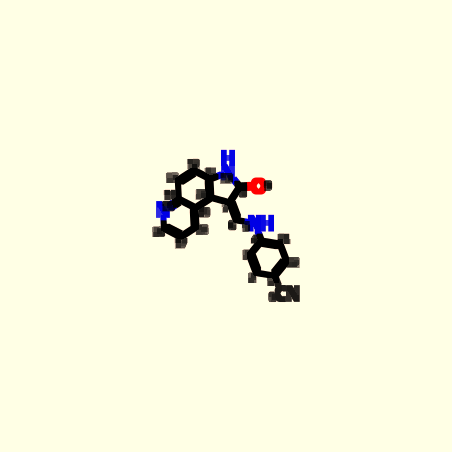 N#Cc1ccc(NC=C2C(=O)Nc3ccc4ncccc4c32)cc1